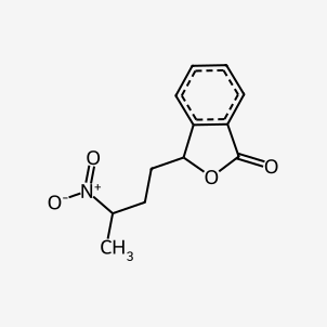 CC(CCC1OC(=O)c2ccccc21)[N+](=O)[O-]